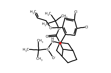 C=CCOc1cc(Cl)c(Cl)cc1C(N[S+]([O-])C(C)(C)C)C1C2CCC1CN(C(=O)OC(C)(C)C)C2